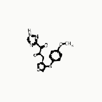 COc1ccc(Sc2cocc2CC(=O)C(=O)c2nc[nH]n2)cc1